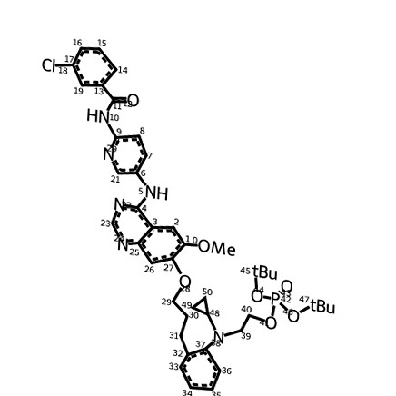 COc1cc2c(Nc3ccc(NC(=O)c4cccc(Cl)c4)nc3)ncnc2cc1OCCCc1ccccc1N(CCOP(=O)(OC(C)(C)C)OC(C)(C)C)C1CC1